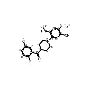 CC(C)Nc1nc(C(=O)O)c(C#N)nc1N1CCC(C(=O)c2cc(Cl)ccc2F)CC1